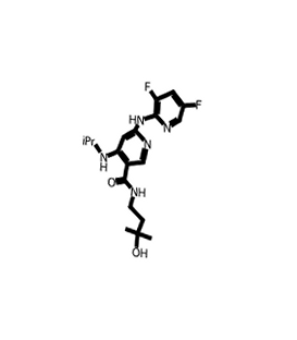 CC(C)Nc1cc(Nc2ncc(F)cc2F)ncc1C(=O)NCCC(C)(C)O